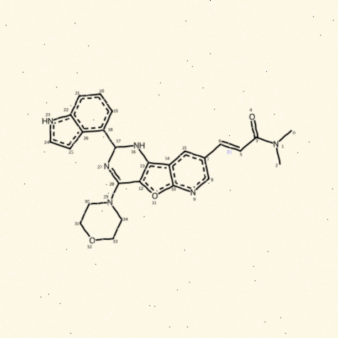 CN(C)C(=O)/C=C/c1cnc2oc3c(c2c1)NC(c1cccc2[nH]ccc12)N=C3N1CCOCC1